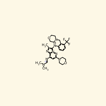 Cc1nc2c(/N=C/N(C)C)cc(N3CCOCC3)nn2c1Nc1cccc(C(F)(F)F)c1CN1CCOCC1